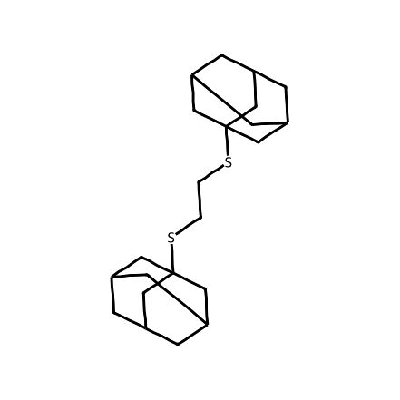 C(CSC12CC3CC(CC(C3)C1)C2)SC12CC3CC(CC(C3)C1)C2